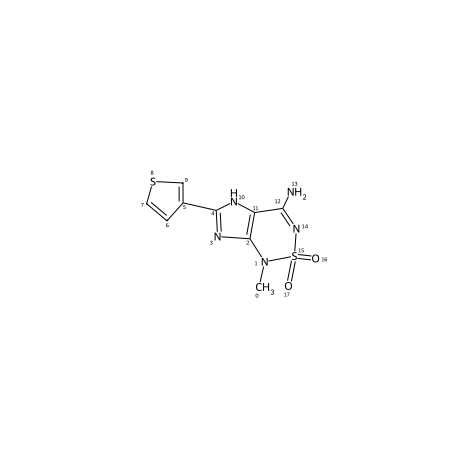 CN1c2nc(-c3ccsc3)[nH]c2C(N)=NS1(=O)=O